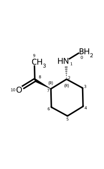 BN[C@@H]1CCCC[C@H]1C(C)=O